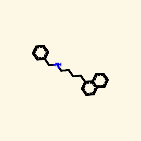 c1ccc(CNCCCCc2cccc3ccccc23)cc1